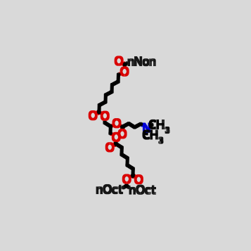 CCCCCCCCCC(=O)OCCCCCCCC(=O)OCC(COC(=O)CCCCCC(=O)OC(CCCCCCCC)CCCCCCCC)OC(=O)CCCN(C)C